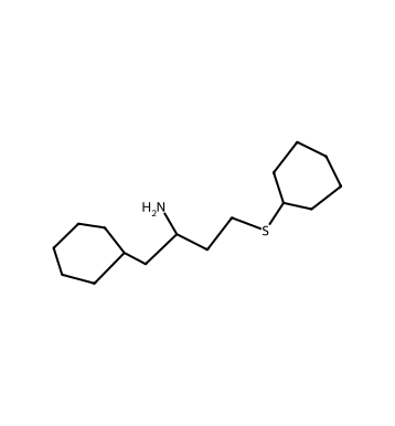 NC(CCSC1CCCCC1)CC1CCCCC1